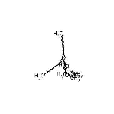 CCCCCCCCCCCCCCOCC(CNC(=O)OCCC(C)(C)OCCC(C)(C)OC)OCCCCCCCCCCCCCC